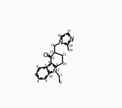 CCn1c2c(c3ccccc31)C(=O)C(Cn1ccnc1C)CC2